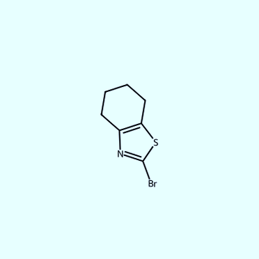 Brc1nc2c(s1)CCCC2